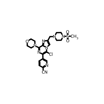 CS(=O)(=O)N1CCN(Cc2cn3c(Cl)c(-c4ccc(C#N)nc4)nc(N4CCOCC4)c3n2)CC1